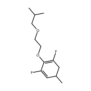 CC(C)COCCOC1=C(F)CC(C)C=C1F